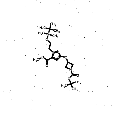 COC(=O)c1cc(OC2CN(C(=O)OC(C)(C)C)C2)nn1CCO[Si](C)(C)C(C)(C)C